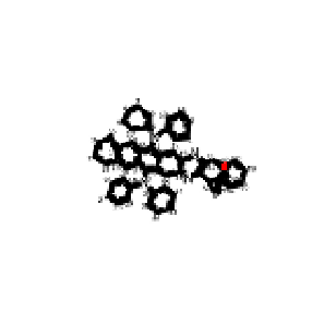 c1ccc(N(c2ccccc2)c2c3cc4ccccc4cc3c(N(c3ccccc3)c3ccccc3)c3cc4nc5c(nc4cc23)C2c3ccccc3C53c4cccc2c43)cc1